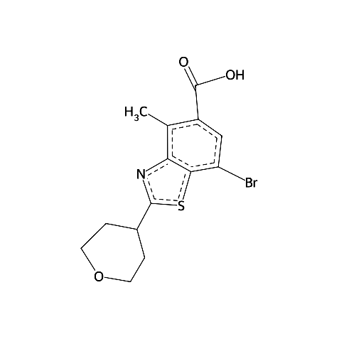 Cc1c(C(=O)O)cc(Br)c2sc(C3CCOCC3)nc12